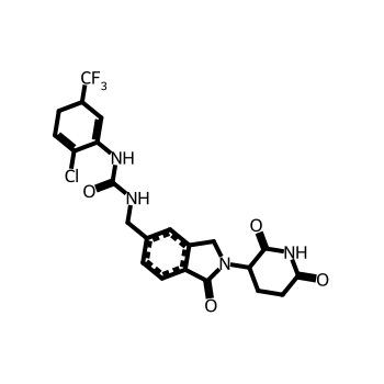 O=C1CCC(N2Cc3cc(CNC(=O)NC4=CC(C(F)(F)F)CC=C4Cl)ccc3C2=O)C(=O)N1